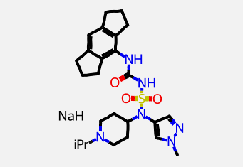 CC(C)N1CCC(N(c2cnn(C)c2)S(=O)(=O)NC(=O)Nc2c3c(cc4c2CCC4)CCC3)CC1.[NaH]